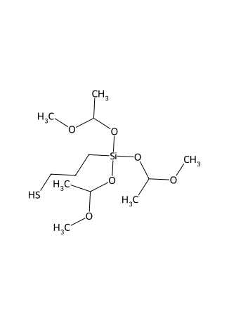 COC(C)O[Si](CCCS)(OC(C)OC)OC(C)OC